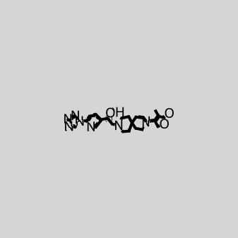 CC1=C(N2CCC3(CCN(C[C@@H](O)c4ccc(-n5cnnn5)nc4)CC3)CC2)COC1=O